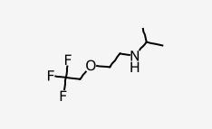 CC(C)NCCOCC(F)(F)F